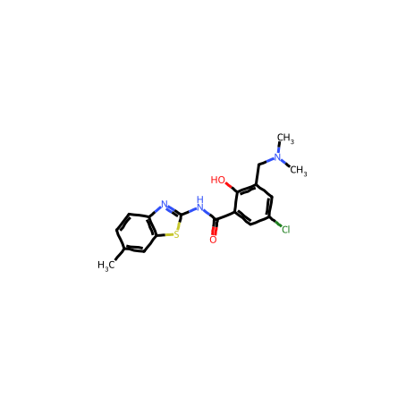 Cc1ccc2nc(NC(=O)c3cc(Cl)cc(CN(C)C)c3O)sc2c1